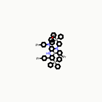 CC(C)c1ccc(-c2cc([Si](c3ccccc3)(c3ccccc3)c3ccccc3)cc3c2Nc2cc(N(c4ccc(C(C)C)cc4)c4ccc(C(C)C)cc4)cc4c2B3c2cc(C(C)C)ccc2N4c2cccc([Si](c3ccccc3)(c3ccccc3)c3ccccc3)c2)cc1